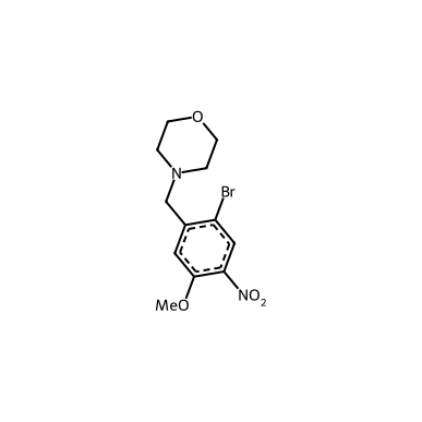 COc1cc(CN2CCOCC2)c(Br)cc1[N+](=O)[O-]